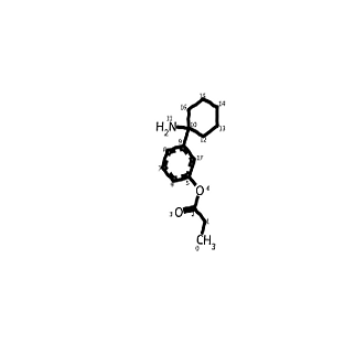 CCC(=O)Oc1cccc(C2(N)CCCCC2)c1